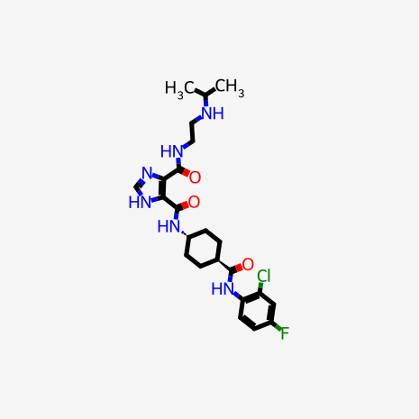 CC(C)NCCNC(=O)c1nc[nH]c1C(=O)N[C@H]1CC[C@H](C(=O)Nc2ccc(F)cc2Cl)CC1